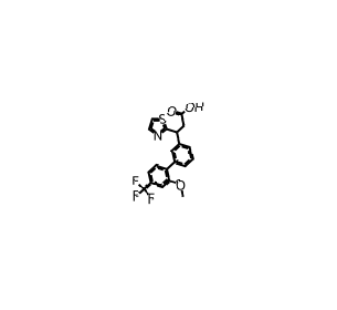 COc1cc(C(F)(F)F)ccc1-c1cccc(C(CC(=O)O)c2nccs2)c1